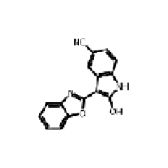 N#Cc1ccc2[nH]c(O)c(-c3nc4ccccc4o3)c2c1